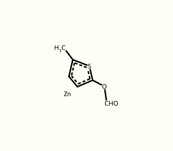 Cc1ccc(OC=O)s1.[Zn]